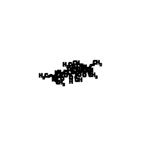 CCCc1nn(C)c2c(=O)n(C3CC(OP(OC4CC(n5nnc6c(CCC)nn(C)c6c5=O)OC4CO)N(C(C)C)C(C)C)C(CO)O3)nnc12